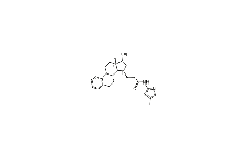 Cc1cnc(NC(=O)CC[C@@H]2CC(O)[C@@]3(C)CCC4c5ccccc5CCC4C23)s1